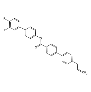 C=CCc1ccc(-c2ccc(C(=O)Oc3ccc(-c4ccc(F)c(F)c4)cc3)cc2)cc1